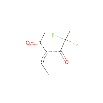 CC=C(C(C)=O)C(=O)C(C)(F)F